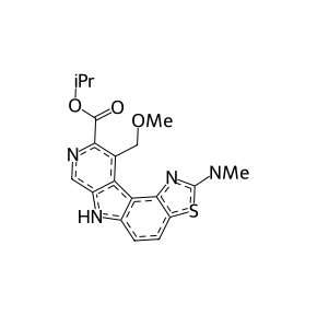 CNc1nc2c(ccc3[nH]c4cnc(C(=O)OC(C)C)c(COC)c4c32)s1